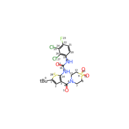 CC(C)(C)c1cc(C(=O)N2CCS(=O)(=O)CC2)c(NC(=O)Nc2ccc(F)c(Cl)c2Cl)s1